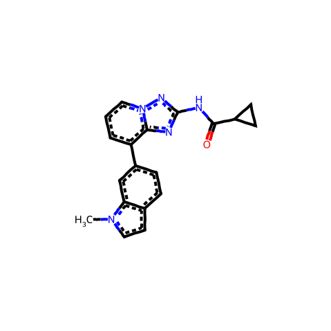 Cn1ccc2ccc(-c3cccn4nc(NC(=O)C5CC5)nc34)cc21